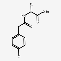 CCC(NC(=O)Cc1ccc(Cl)cc1)C(=O)OCC(C)C